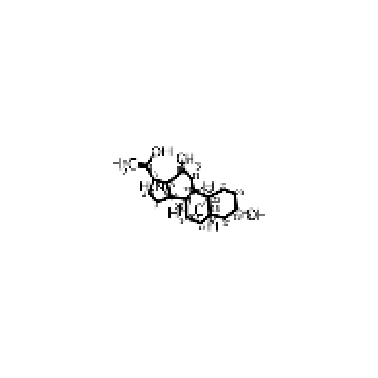 C=C(O)C1CC[C@@]2(N)C1[C@H](C)C[C@H]1[C@H]2CC[C@@H]2C[C@@H](O)CC[C@@]21C